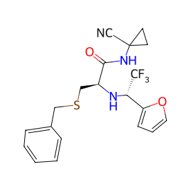 N#CC1(NC(=O)[C@H](CSCc2ccccc2)N[C@@H](c2ccco2)C(F)(F)F)CC1